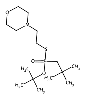 CC(C)(C)CP(=O)(OC(C)(C)C)SCCN1CCOCC1